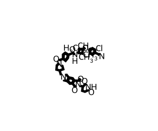 CC1(C)C(NC(=O)c2ccc(C(=O)N3CCC(CN4Cc5cc6c(cc5C4)C(=O)N(C4CCC(=O)NC4=O)C6=O)CC3)cc2)C(C)(C)C1Oc1ccc(C#N)c(Cl)c1